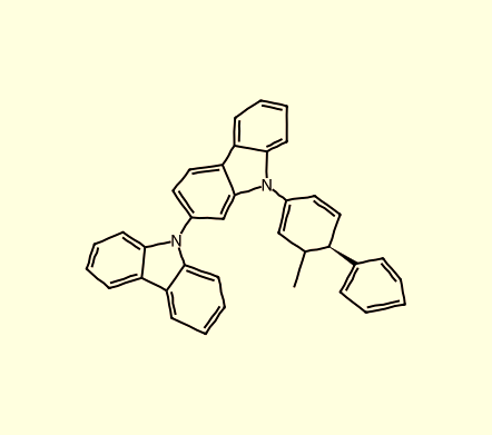 CC1C=C(n2c3ccccc3c3ccc(-n4c5ccccc5c5ccccc54)cc32)C=C[C@H]1c1ccccc1